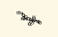 Cc1cccc(-c2c(C(=O)NCCN3CCOCC3)[nH]c3ccc(NS(=O)(=O)c4ccc(C(C)(C)C)cc4)cc23)c1